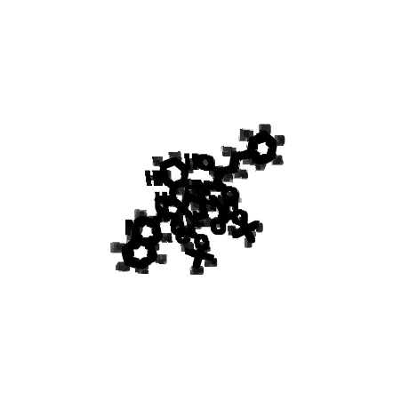 CC(C)(C)OC(=O)N[C@]1(NC(=O)[C@H](O)CCc2ccccc2)CN(C(=O)OC(C)(C)C)[C@@](C(=O)Nc2cnc3ccccc3c2)(C(=O)C2CCCCN2)C1